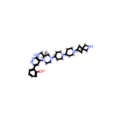 Oc1ccccc1-c1cc2c(nn1)NC[C@H]1CN(C3CCN(C4CCN(C5CC6(CNC6)C5)CC4)CC3)CCN21